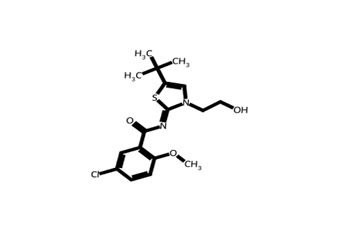 COc1ccc(Cl)cc1C(=O)/N=c1\sc(C(C)(C)C)cn1CCO